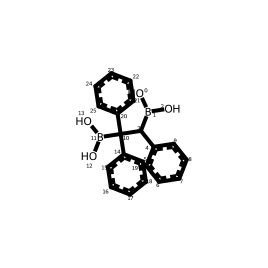 OB(O)C(c1ccccc1)C(B(O)O)(c1ccccc1)c1ccccc1